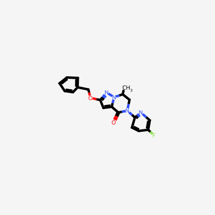 CC1CN(c2ccc(F)cn2)C(=O)c2cc(OCc3ccccc3)nn21